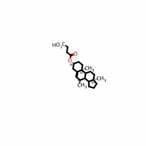 C[C@H]1C=C2C[C@H](OC(=O)CCC(=O)O)CC[C@@]2(C)C2CC[C@@]3(C)CCCC3C21